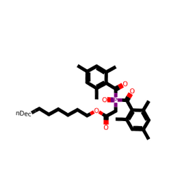 CCCCCCCCCCCCCCCCOC(=O)CP(=O)(C(=O)c1c(C)cc(C)cc1C)C(=O)c1c(C)cc(C)cc1C